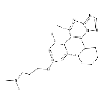 Cc1nc2ncnn2c(C2CCCCC2)c1-c1c(F)cc(OCCCN(C)C)cc1F